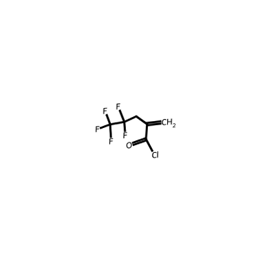 C=C(CC(F)(F)C(F)(F)F)C(=O)Cl